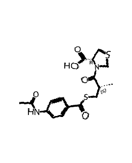 CC(=O)Nc1ccc(C(=O)SC[C@@H](C)C(=O)N2CSC[C@H]2C(=O)O)cc1